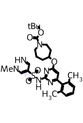 CN/C=C(\C=N)S(=O)(=O)Nc1nc(OC2CCCN(C(=O)OC(C)(C)C)CC2)cc(-c2c(C)cccc2C)n1